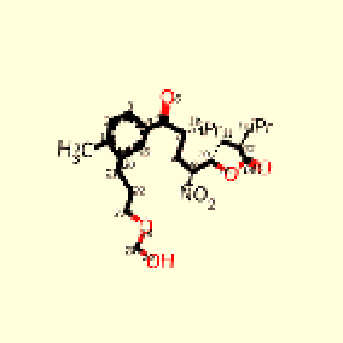 Cc1ccc(C(=O)[C@@H](C[C@@H]([C@@H]2C[C@@H](C(C)C)C(=O)O2)[N+](=O)[O-])C(C)C)cc1CCCOCO